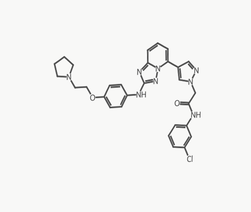 O=C(Cn1cc(-c2cccc3nc(Nc4ccc(OCCN5CCCC5)cc4)nn23)cn1)Nc1cccc(Cl)c1